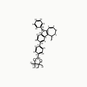 CC1CCC=Cc2c1c1cc(-c3ccc(B4OC(C)(C)C(C)(C)O4)cc3)ccc1n2-c1ccccc1